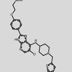 CC(=O)NCCOc1ccc(-c2nc3c(NC4CCN(Cc5cccs5)CC4)c(Cl)cnc3[nH]2)cc1